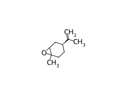 C=C(C)[C@H]1CCC2(C)OC2C1